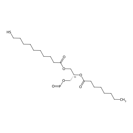 CCCCCCCC(=O)O[C@H](COP=O)COC(=O)CCCCCCCCCS